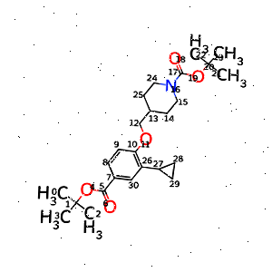 CC(C)(C)OC(=O)c1ccc(OCC2CCN(C(=O)OC(C)(C)C)CC2)c(C2CC2)c1